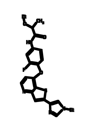 CCOC(C)C(=O)Nc1ccc(Oc2ccnc3cc(-c4cn(CC)cn4)sc23)c(F)c1